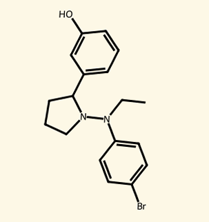 CCN(c1ccc(Br)cc1)N1CCCC1c1cccc(O)c1